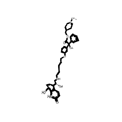 CN1CCC(COC(=O)C(O)(c2ccccc2)c2cccc(OCCCCCNC[C@H](O)c3ccc(O)c4[nH]c(=O)ccc34)c2)CC1